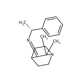 C[C@@H](/N=C1/C2CCN(CC2)C1(C)C)c1ccccc1